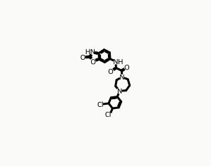 O=C(Nc1ccc2[nH]c(=O)oc2c1)C(=O)N1CCCN(C2=CC(Cl)C(Cl)C=C2)CC1